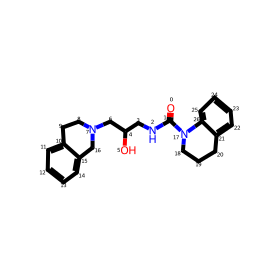 O=C(NCC(O)CN1CCc2ccccc2C1)N1CCCc2ccccc21